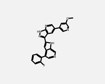 COc1cncc(-c2cnc3[nH]nc(-c4cc5c(-c6ccccc6F)cncc5[nH]4)c3c2)c1